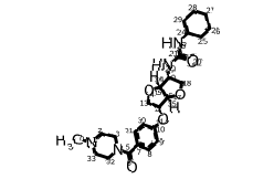 CN1CCN(C(=O)c2ccc(O[C@H]3CO[C@H]4[C@@H]3OC[C@@H]4NC(=O)NC3CCCCC3)cc2)CC1